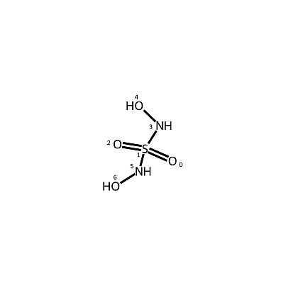 O=S(=O)(NO)NO